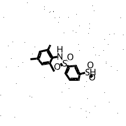 Cc1cc(C)c(NS(=O)(=O)c2cccc([SH](=O)=O)c2)c(C)c1